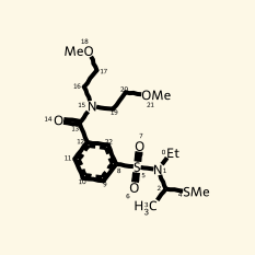 CCN(C(C)SC)S(=O)(=O)c1cccc(C(=O)N(CCOC)CCOC)c1